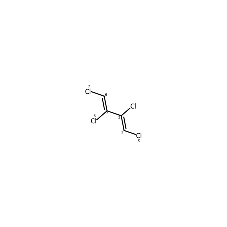 Cl/C=C(Cl)/C(Cl)=C/Cl